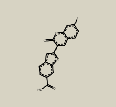 O=C(O)c1ccc2cc(-c3cc4ccc(F)cc4oc3=O)oc2c1